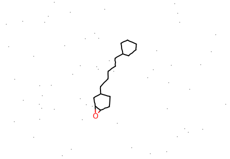 C1CCC(CCCCCC2CCC3OC3C2)CC1